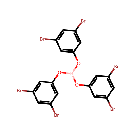 Brc1cc(Br)cc(OB(Oc2cc(Br)cc(Br)c2)Oc2cc(Br)cc(Br)c2)c1